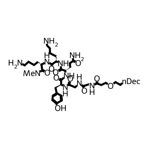 CCCCCCCCCCCCOCCC(=O)NCC(=O)NCC(=O)N[C@@H](Cc1ccc(O)cc1)C(=O)N[C@@H](CCC(N)=O)C(=O)N[C@@H](CCCCN)C(=O)N[C@@H](CCCCN)C(=O)NC